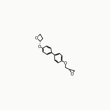 c1cc(-c2ccc(O[C@H]3CCO3)cc2)ccc1OCC1CO1